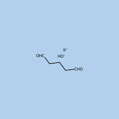 O=CCCCC=O.[K+].[OH-]